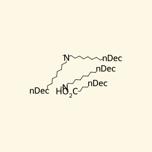 CCCCCCCCCCCCCC(=O)O.CCCCCCCCCCCCCCCCCCN(C)C.CCCCCCCCCCCCCCCCCCN(C)CCCCCCCCCCCCCCCCCC